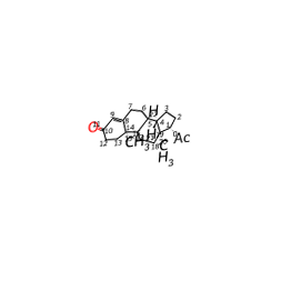 CC(=O)[C@H]1CC[C@H]2[C@@H]3CCC4=CC(=O)CC[C@]4(C)C3CC[C@]12C